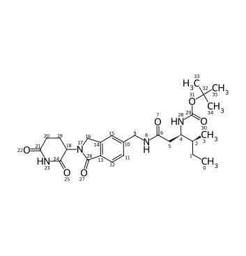 CC[C@H](C)[C@@H](CC(=O)NCc1ccc2c(c1)CN(C1CCC(=O)NC1=O)C2=O)NC(=O)OC(C)(C)C